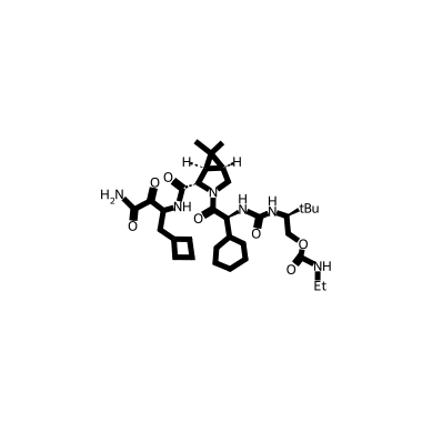 CCNC(=O)OC[C@@H](NC(=O)N[C@H](C(=O)N1C[C@H]2[C@@H]([C@H]1C(=O)NC(CC1CCC1)C(=O)C(N)=O)C2(C)C)C1CCCCC1)C(C)(C)C